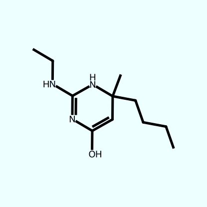 CCCCC1(C)C=C(O)N=C(NCC)N1